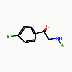 O=C(CNBr)c1ccc(Br)cc1